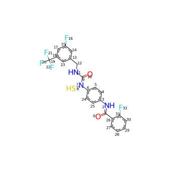 O=C(Nc1ccc(N(S)C(=O)NCc2cc(F)cc(C(F)(F)F)c2)cc1)c1ccccc1F